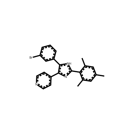 Cc1cc(C)c(-c2nc(-c3ccncc3)c(-c3cccc(Br)c3)[nH]2)c(C)c1